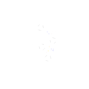 O=C(NCc1ccccc1)c1ccc(CN(Cc2ccc(F)cc2)S(=O)(=O)c2ccc(Cl)cc2)cc1